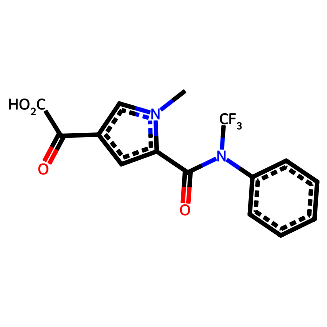 Cn1cc(C(=O)C(=O)O)cc1C(=O)N(c1ccccc1)C(F)(F)F